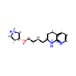 c1cnc2c(c1)CCC(CCCCO[C@@H]1CCNC1)N2